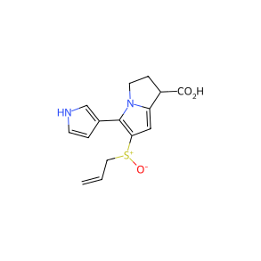 C=CC[S+]([O-])c1cc2n(c1-c1cc[nH]c1)CCC2C(=O)O